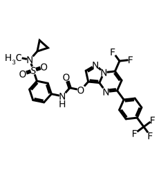 CN(C1CC1)S(=O)(=O)c1cccc(NC(=O)Oc2cnn3c(C(F)F)cc(-c4ccc(C(F)(F)F)cc4)nc23)c1